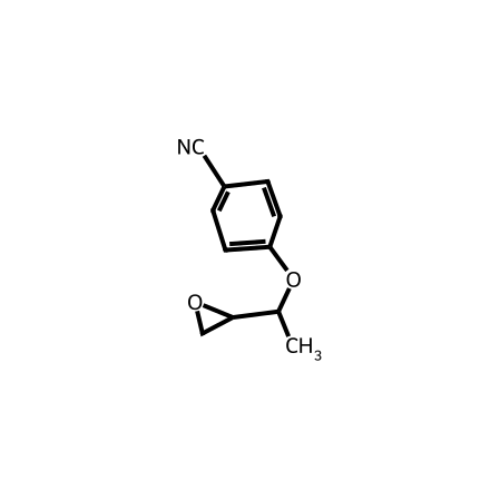 CC(Oc1ccc(C#N)cc1)C1CO1